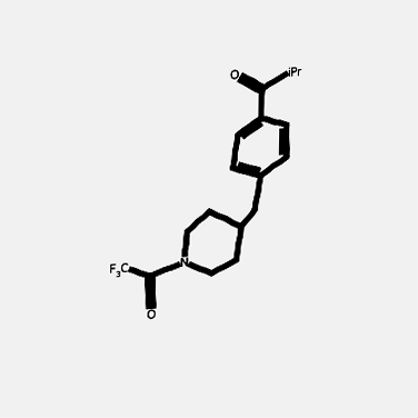 CC(C)C(=O)c1ccc(CC2CCN(C(=O)C(F)(F)F)CC2)cc1